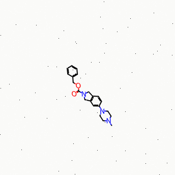 CN1CCN(c2ccc3c(c2)CN(C(=O)OCc2ccccc2)C3)CC1